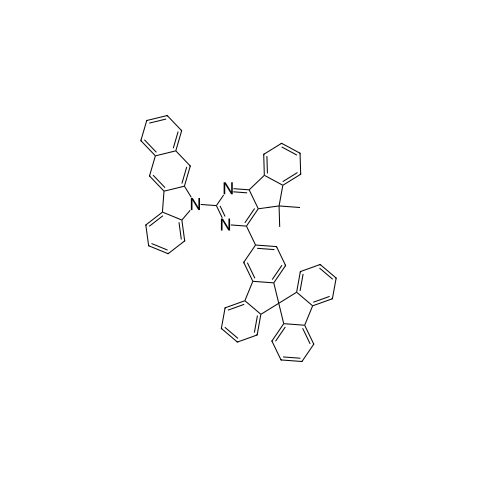 CC1(C)c2ccccc2-c2nc(-n3c4ccccc4c4cc5ccccc5cc43)nc(-c3ccc4c(c3)-c3ccccc3C43c4ccccc4-c4ccccc43)c21